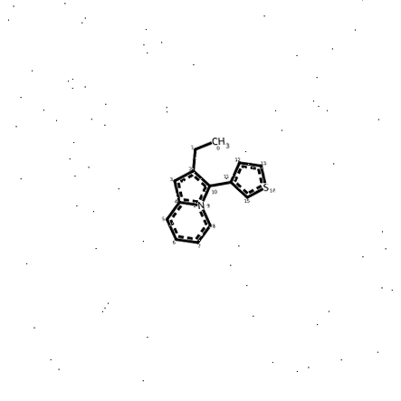 CCc1cc2ccccn2c1-c1ccsc1